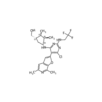 Cc1cc2cc(-c3c(Cl)nc(NCC(F)(F)F)nc3N[C@@H]3C[C@H](CO)[C@@H](C)[C@H]3C)oc2c(C)n1